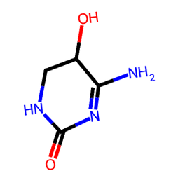 NC1=NC(=O)NCC1O